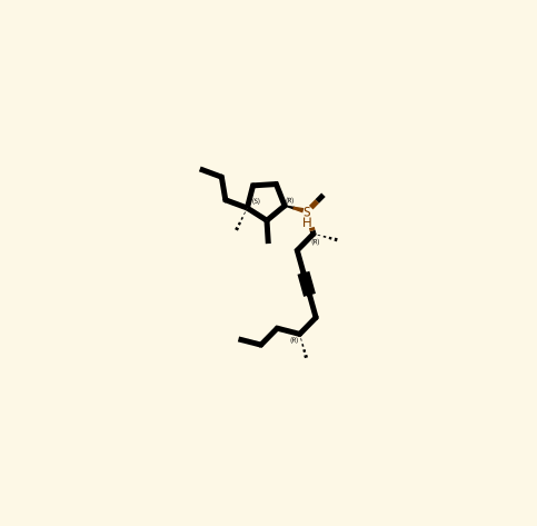 CCC[C@@H](C)CC#CC[C@@H](C)[SH](C)[C@@H]1CC[C@](C)(CCC)C1C